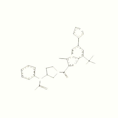 CC(=O)N(c1ccccc1)C1CCN(C(=O)c2nc3c(C(F)(F)F)cc(-c4ccoc4)cn3c2Cl)C1